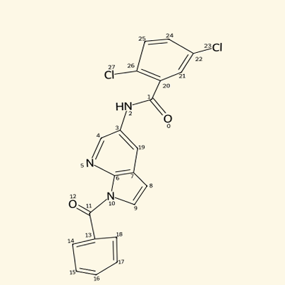 O=C(Nc1cnc2c(ccn2C(=O)c2ccccc2)c1)c1cc(Cl)ccc1Cl